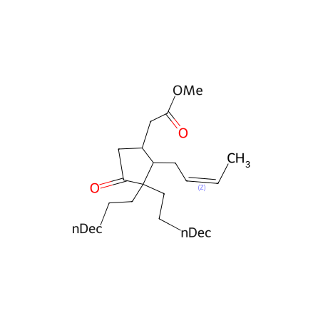 C/C=C\CC1C(CC(=O)OC)CC(=O)C1(CCCCCCCCCCCC)CCCCCCCCCCCC